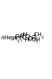 C=CC[C@H]1C2CC[C@@H]3[C@H](CC[C@]4(C)C(COCCCCCCC)CC[C@@H]34)[C@@]2(C)CC[C@H]1O